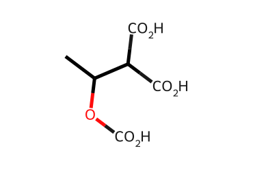 CC(OC(=O)O)C(C(=O)O)C(=O)O